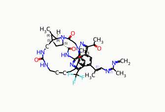 C=N/C(C)=N\C=C(/C)c1cc2c3c(c1)c(C(C)=O)nn3CC(=O)N1[C@H](C(=O)Nc3nc(C(F)(F)F)ccc3C)C[C@@]3(CNC(=O)NCCCCC2)[C@@H](C)[C@@H]13